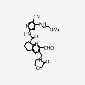 COCCNc1cc(NC(=O)N2CCCc3cc(CN4CCOCC4=O)c(C=O)nc32)ncc1C#N